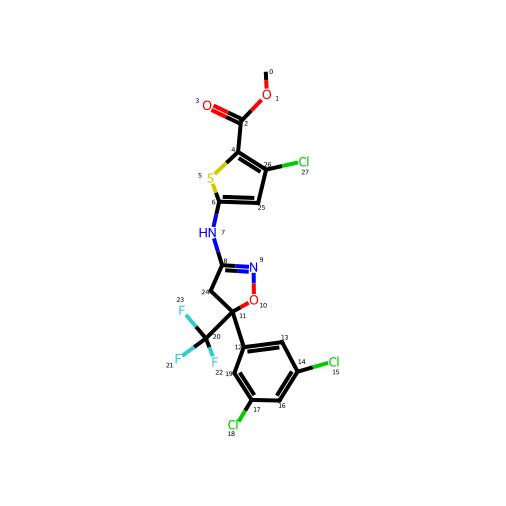 COC(=O)c1sc(NC2=NOC(c3cc(Cl)cc(Cl)c3)(C(F)(F)F)C2)cc1Cl